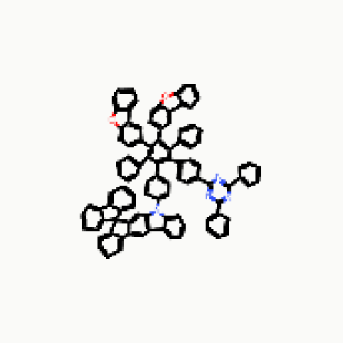 c1ccc(-c2nc(-c3ccccc3)nc(-c3ccc(-c4c(-c5ccc(-n6c7ccccc7c7cc8c(cc76)C6(c7ccccc7-c7ccccc76)c6ccccc6-8)cc5)c(-c5ccccc5)c(-c5ccc6oc7ccccc7c6c5)c(-c5ccc6oc7ccccc7c6c5)c4-c4ccccc4)cc3)n2)cc1